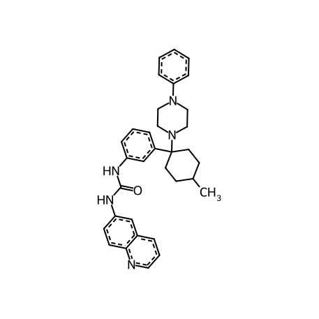 CC1CCC(c2cccc(NC(=O)Nc3ccc4ncccc4c3)c2)(N2CCN(c3ccccc3)CC2)CC1